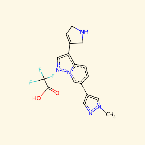 Cn1cc(-c2ccc3c(C4=CCNC4)cnn3c2)cn1.O=C(O)C(F)(F)F